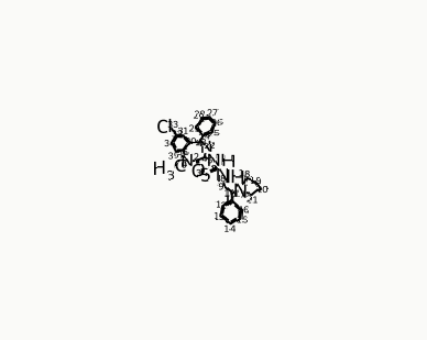 CN1C(=O)C(NC(=S)NCC(c2ccccc2)N2CCCC2)N=C(c2ccccc2)c2cc(Cl)ccc21